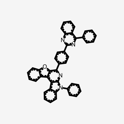 c1ccc(-c2nc(-c3ccc(-c4nc5c(c6ccccc6n5-c5ccccc5)c5c4oc4ccccc45)cc3)nc3ccccc23)cc1